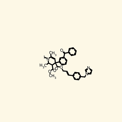 COC(=O)C1C(C)N(I)C(C)=CC1(C(=O)OCC=Cc1ccc(Cn2ccnc2)cc1)c1cccc(C(=O)c2ccccc2)c1